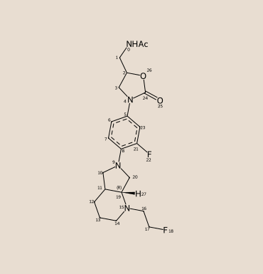 CC(=O)NCC1CN(c2ccc(N3CC4CCCN(CCF)[C@H]4C3)c(F)c2)C(=O)O1